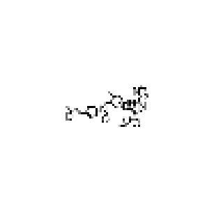 CCOC(=O)C1=C(CN2CCC(C)C(CN(C=O)c3ccc(CCC(C)=O)cc3)C2)NC(c2nccs2)=NC1